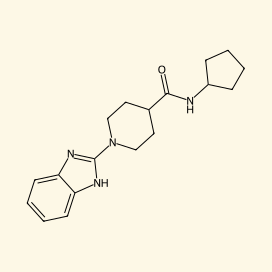 O=C(NC1CCCC1)C1CCN(c2nc3ccccc3[nH]2)CC1